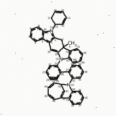 CC12Cc3c(c4ccccc4n3C3C=CC=CC3)C=C1N(c1ccc#cc1-c1ccccc1N1c3ccccc3C3=CC1C=CC=C3)c1ccccc12